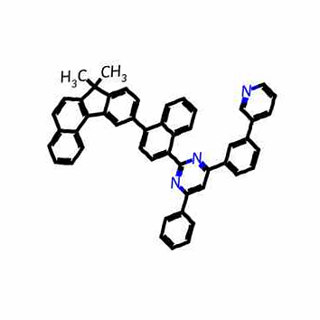 CC1(C)c2ccc(-c3ccc(-c4nc(-c5ccccc5)cc(-c5cccc(-c6cccnc6)c5)n4)c4ccccc34)cc2-c2c1ccc1ccccc21